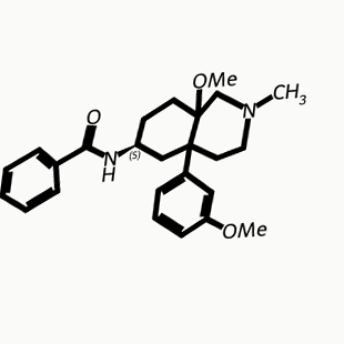 COc1cccc(C23CCN(C)CC2(OC)CC[C@H](NC(=O)c2ccccc2)C3)c1